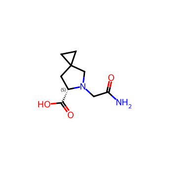 NC(=O)CN1CC2(CC2)C[C@H]1C(=O)O